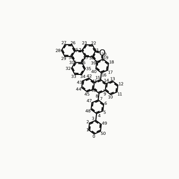 c1ccc(-c2ccc(-c3c4ccccc4c(-c4ccc5oc6ccc7c8ccccc8c8ccccc8c7c6c5c4)c4ccccc34)cc2)cc1